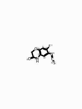 O=C1COc2cc(F)c(N=C=S)cc2N1